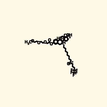 COCCOCCOCC(=O)Oc1ccc2c(c1)C[C@@H](CCCCCCCCC[S+]([O-])CCCC(F)(F)C(F)(F)F)[C@@H]1[C@@H]2CC[C@]2(C)[C@@H](O)CC[C@@H]12